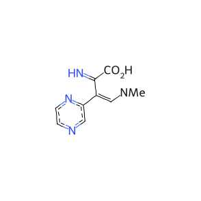 CN/C=C(\C(=N)C(=O)O)c1cnccn1